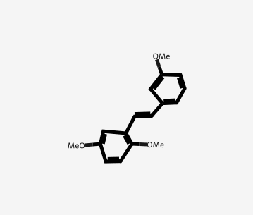 COc1cccc(C=Cc2cc(OC)ccc2OC)c1